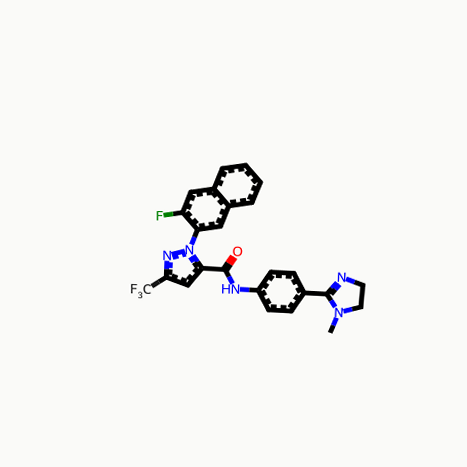 CN1CCN=C1c1ccc(NC(=O)c2cc(C(F)(F)F)nn2-c2cc3ccccc3cc2F)cc1